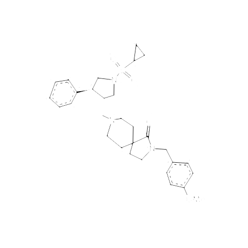 COc1ccc(CN2CCC3(CCN(C[C@H]4CN(S(=O)(=O)C5CC5)C[C@@H]4c4ccccc4)CC3)C2=O)cc1